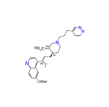 COc1ccc2nccc([C@H](F)CC[C@@H]3CCN(CCCc4ccnnc4)C[C@@H]3C(=O)O)c2c1